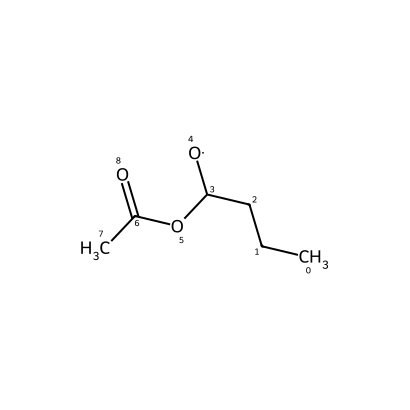 CCCC([O])OC(C)=O